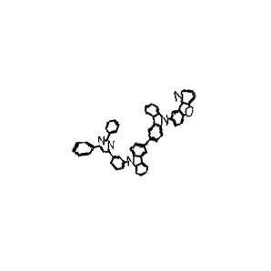 c1ccc(-c2cc(-c3cccc(-n4c5ccccc5c5cc(-c6ccc7c(c6)c6ccccc6n7-c6ccc7oc8cccnc8c7c6)ccc54)c3)nc(-c3ccccc3)n2)cc1